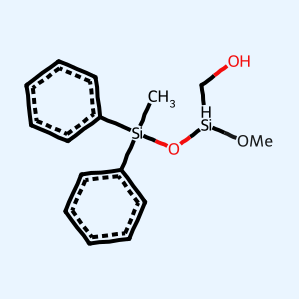 CO[SiH](CO)O[Si](C)(c1ccccc1)c1ccccc1